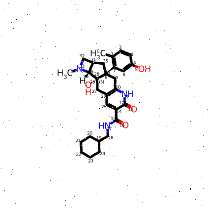 Cc1ccc(O)cc1[C@@]12Cc3[nH]c(=O)c(C(=O)NCC4CCCCC4)cc3C[C@@]1(O)[C@H]1C(CN1C)C2